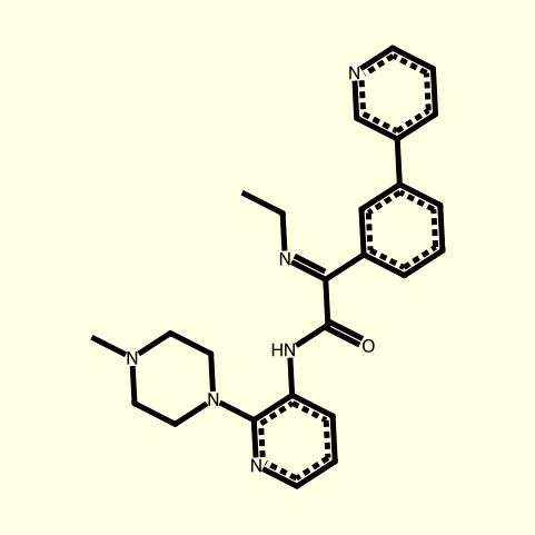 CC/N=C(/C(=O)Nc1cccnc1N1CCN(C)CC1)c1cccc(-c2cccnc2)c1